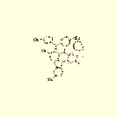 C=C1B(c2cc(C(C)(C)C)ccc2NC2=C=C(C(C)(C)C)C=C2)c2cc(C(C)(C)C)cc3c4cc(C(C)(C)C)ccc4n(c23)/C1=C/C(=C\C)C(C)(C)c1ccccc1